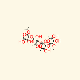 CC(C)OC1[C@@H](O[C@@H]2C(O)[C@@H](O[C@@H]3C(O)[C@@H](OC4[C@@H](OC(C)C)OC(C)[C@@H](O)[C@@H]4O)OC(C)[C@H]3O)OC(C)[C@H]2O)OC(C)[C@@H](O)[C@@H]1O